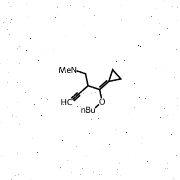 C#CC(CNC)C(OCCCC)=C1CC1